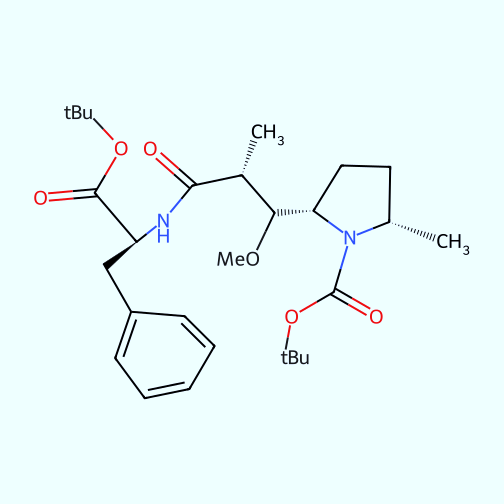 COC([C@@H](C)C(=O)N[C@@H](Cc1ccccc1)C(=O)OC(C)(C)C)[C@@H]1CC[C@H](C)N1C(=O)OC(C)(C)C